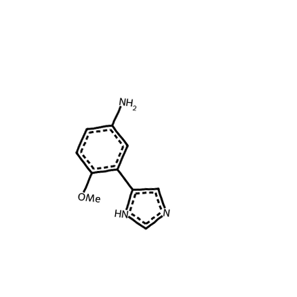 COc1ccc(N)cc1-c1cnc[nH]1